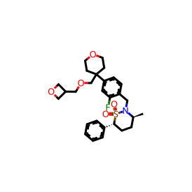 C[C@H]1CC[C@H](c2ccccc2)S(=O)(=O)N1Cc1ccc(C2(COCC3COC3)CCOCC2)cc1F